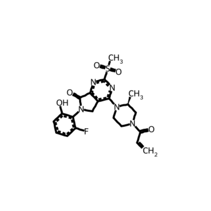 C=CC(=O)N1CCN(c2nc(S(C)(=O)=O)nc3c2CN(c2c(O)cccc2F)C3=O)[C@@H](C)C1